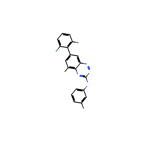 COc1cccc(Nc2nnc3cc(-c4c(Cl)cccc4Cl)cc(C)c3n2)c1